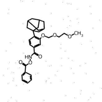 COCCOCOc1cc(C(=O)NOC(=O)c2ccccc2)ccc1C12CC3CC(CC(C3)C1)C2